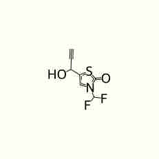 C#CC(O)c1cn(C(F)F)c(=O)s1